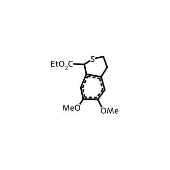 CCOC(=O)C1SCCc2cc(OC)c(OC)cc21